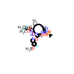 CC[C@@H]1C[C@H](C)CC/C=C\[C@@H]2C[C@@]2(C(=O)NS(=O)(=O)C2CC2)NC(=O)[C@@H]2C[C@@H](Oc3nccc4cc(OC)c(F)cc34)CN2C(=O)[C@H]1NC(=O)OC(C)(C)C(C)(F)F